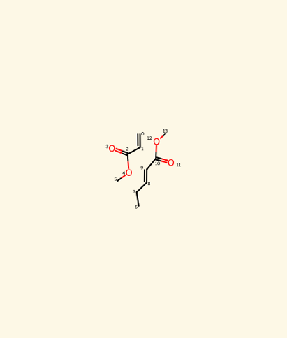 C=CC(=O)OC.CCC=CC(=O)OC